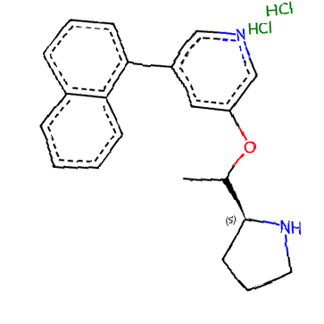 CC(Oc1cncc(-c2cccc3ccccc23)c1)[C@@H]1CCCN1.Cl.Cl